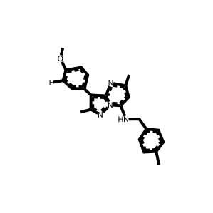 COc1ccc(-c2c(C)nn3c(NCc4ccc(C)cc4)cc(C)nc23)cc1F